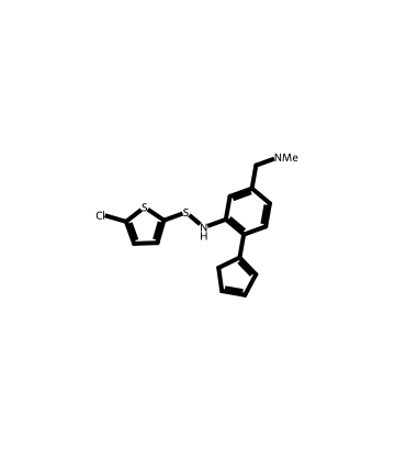 CNCc1ccc(C2=CC=CC2)c(NSc2ccc(Cl)s2)c1